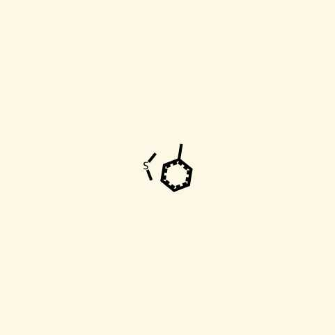 CSC.Cc1ccccc1